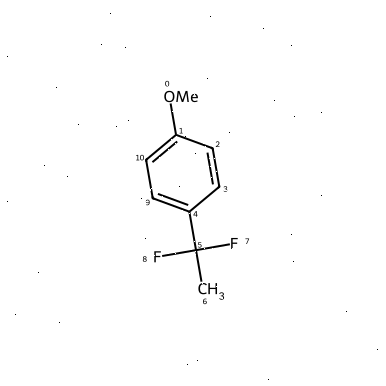 COc1ccc(C(C)(F)F)cc1